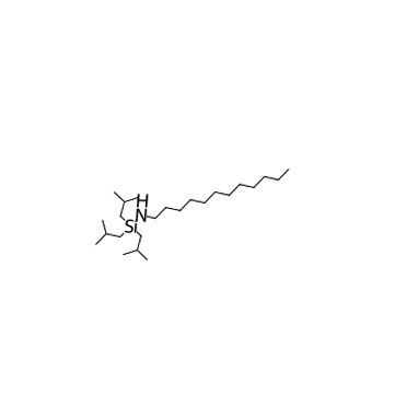 CCCCCCCCCCCCN[Si](CC(C)C)(CC(C)C)CC(C)C